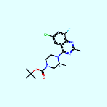 Cc1nc(N2CCN(C(=O)OC(C)(C)C)C[C@@H]2C)c2cc(Cl)cc(F)c2n1